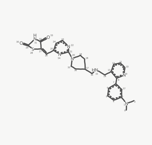 CN(C)c1cccc(-c2ncccc2CNCC2CCN(c3nccc(C=C4SC(=O)NC4=O)n3)CC2)c1